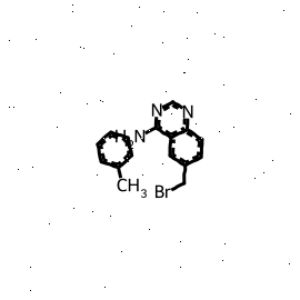 Cc1ccccc1.Nc1ncnc2ccc(CBr)cc12